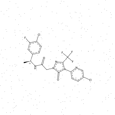 C[C@H](NC(=O)Cn1nc(C(F)(F)F)n(-c2ccc(Cl)cn2)c1=O)c1ccc(Cl)c(F)c1